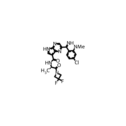 CNc1cc(Cl)ccc1C(=N)c1cnc2[nH]cc(C(=O)N[C@H](C)C(=O)N3CC(F)(F)C3)c2n1